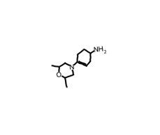 CC1CN(C2=CCC(N)CC2)CC(C)O1